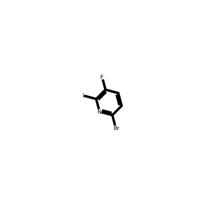 Fc1ccc(Br)nc1I